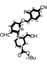 CC(C)(C)OC(=O)N1CCN(c2nc(OCc3ccc(C#N)cc3F)ccc2C=O)C(CO)C1